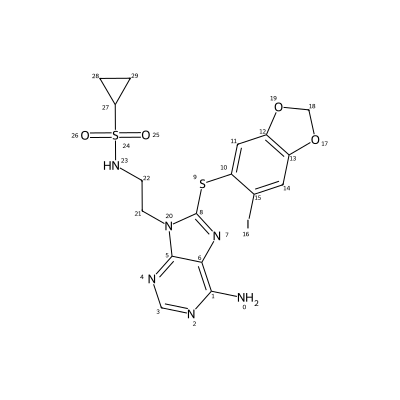 Nc1ncnc2c1nc(Sc1cc3c(cc1I)OCO3)n2CCNS(=O)(=O)C1CC1